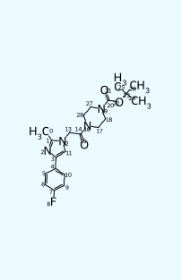 Cc1nc(-c2ccc(F)cc2)cn1CC(=O)N1CCN(C(=O)OC(C)(C)C)CC1